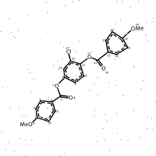 COc1ccc(C(=O)Oc2ccc(OC(=O)c3ccc(OC)cc3)c(Cl)c2)cc1